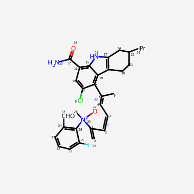 C=C(/C=C\C=C(/C)c1c(Cl)cc(C(N)=O)c2[nH]c3c(c12)CCC(C(C)C)C3)[N+](C)([O-])c1c(F)cccc1C=O